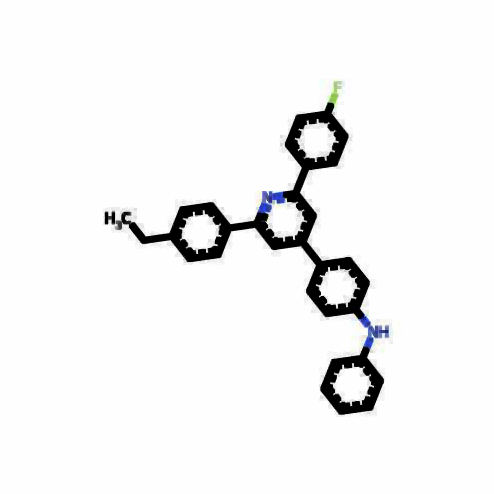 CCc1ccc(-c2cc(-c3ccc(Nc4ccccc4)cc3)cc(-c3ccc(F)cc3)n2)cc1